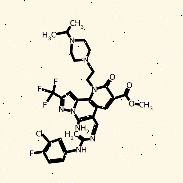 C=C(/N=C\c1c(N)n2nc(C(F)(F)F)cc2c2c1cc(C(=O)OC)c(=O)n2CCN1CCN(C(C)C)CC1)Nc1ccc(F)c(Cl)c1